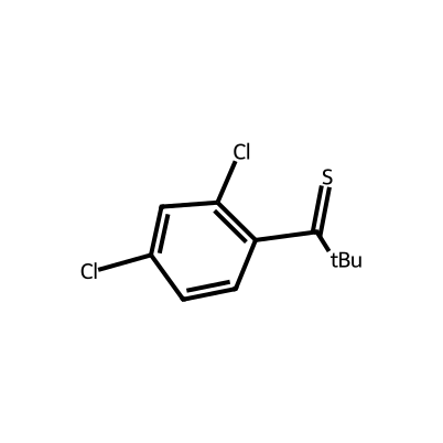 CC(C)(C)C(=S)c1ccc(Cl)cc1Cl